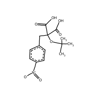 CC(C)(C)OC(Cc1ccc([N+](=O)[O-])cc1)(C(=O)O)C(=O)O